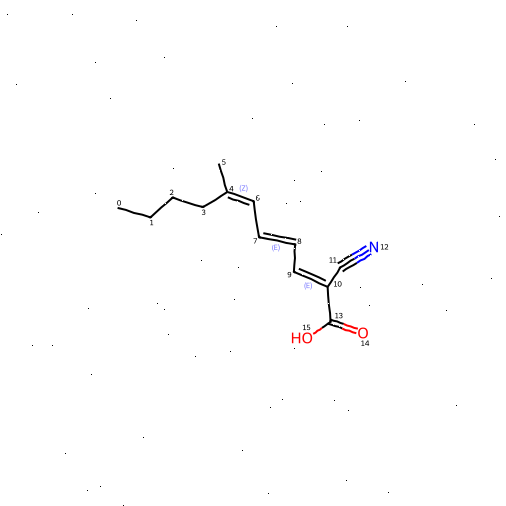 CCCC\C(C)=C/C=C/C=C(\C#N)C(=O)O